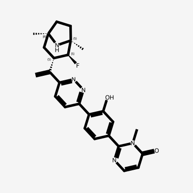 C=C(c1ccc(-c2ccc(-c3nccc(=O)n3C)cc2O)nn1)[C@@H]1C[C@@]2(C)CC[C@](C)(N2)[C@H]1F